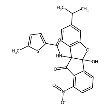 Cc1ccc(C(=O)NC23C(=O)c4c([N+](=O)[O-])cccc4C2(O)Oc2cc(C(C)C)ccc23)s1